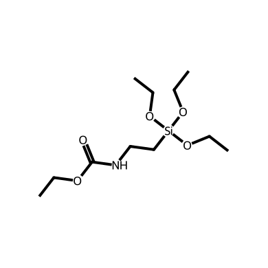 CCOC(=O)NCC[Si](OCC)(OCC)OCC